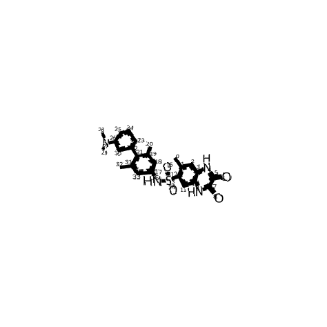 Cc1cc2[nH]c(=O)c(=O)[nH]c2cc1S(=O)(=O)Nc1cc(C)c(-c2cccc(N(C)C)c2)c(C)c1